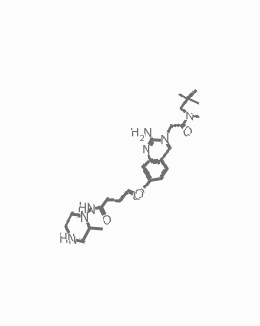 CC1CNCCN1NC(=O)CCCOc1ccc2c(c1)N=C(N)N(CC(=O)N(C)CC(C)(C)C)C2